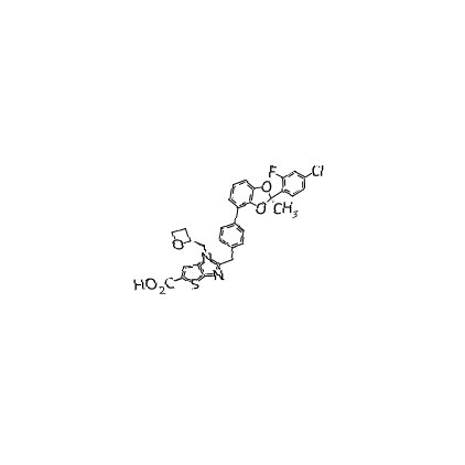 C[C@@]1(c2ccc(Cl)cc2F)Oc2cccc(-c3ccc(Cc4nc5sc(C(=O)O)cc5n4C[C@@H]4CCO4)cc3)c2O1